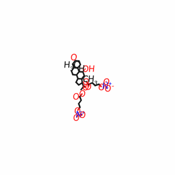 C[C@]12CCC(=O)C=C1CCC1C3CC[C@](OC(=O)CCCO[N+](=O)[O-])(C(=O)COC(=O)CCCO[N+](=O)[O-])[C@@]3(C)C[C@H](O)[C@@H]12